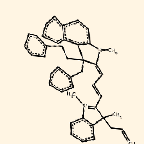 C=CCC1(C)C(/C=C/C=C2/N(C)c3ccc4ccccc4c3C2(CCc2ccccc2)Cc2ccccc2)=[N+](C)c2ccccc21